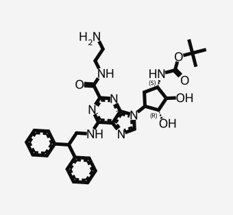 CC(C)(C)OC(=O)N[C@H]1CC(n2cnc3c(NCC(c4ccccc4)c4ccccc4)nc(C(=O)NCCN)nc32)[C@@H](O)C1O